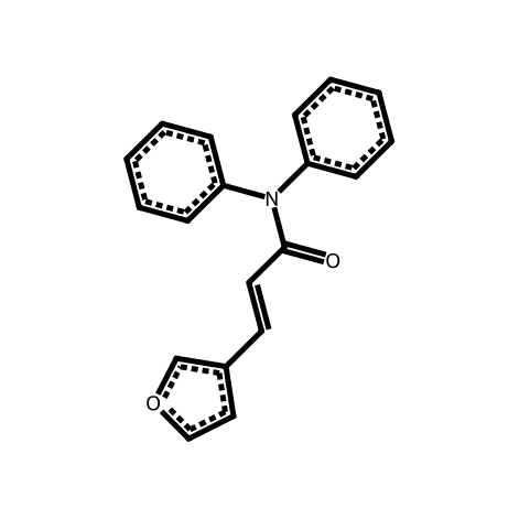 O=C(C=Cc1ccoc1)N(c1ccccc1)c1ccccc1